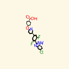 O=C(O)[C@H]1CC[C@@H](Oc2ccc(-c3cc(F)c(-c4nc5cc(Cl)ccc5[nH]4)c(F)c3)cn2)CC1